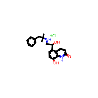 CC(C)(Cc1ccccc1)NCC(O)c1ccc(O)c2[nH]c(=O)ccc12.Cl